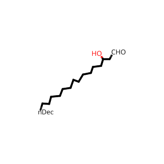 CCCCCCCCCCCCCCCCCCCCCCC(O)CC=O